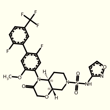 COc1cc(-c2cc(C(F)(F)F)ccc2F)c(F)cc1N1C(=O)CO[C@H]2CN(S(=O)(=O)Nc3ccon3)CC[C@@H]21